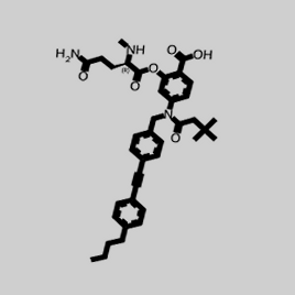 CCCCc1ccc(C#Cc2ccc(CN(C(=O)CC(C)(C)C)c3ccc(C(=O)O)c(OC(=O)[C@@H](CCC(N)=O)NC)c3)cc2)cc1